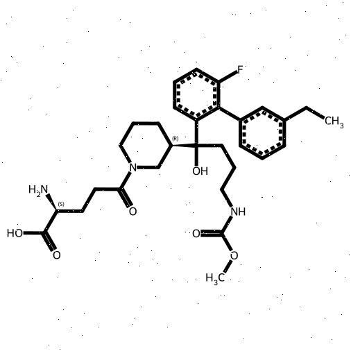 CCc1cccc(-c2c(F)cccc2C(O)(CCCNC(=O)OC)[C@@H]2CCCN(C(=O)CC[C@H](N)C(=O)O)C2)c1